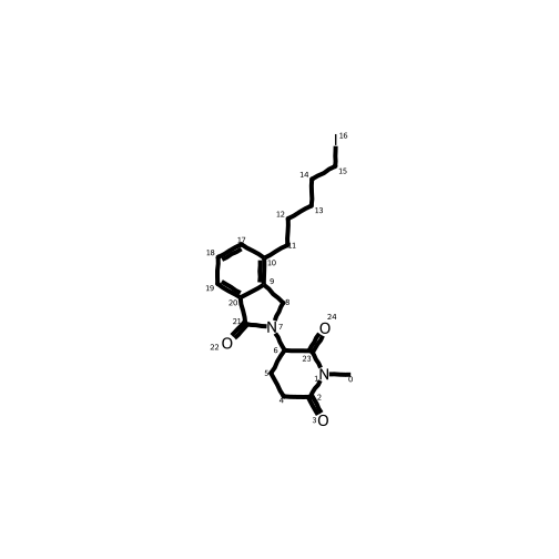 CN1C(=O)CCC(N2Cc3c(CCCCCI)cccc3C2=O)C1=O